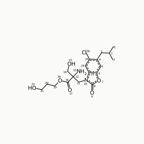 CC(C)Cc1cc2oc(=O)n(CC(N)(CO)C(=O)OCCCO)c2cc1Cl